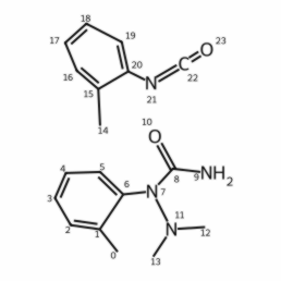 Cc1ccccc1N(C(N)=O)N(C)C.Cc1ccccc1N=C=O